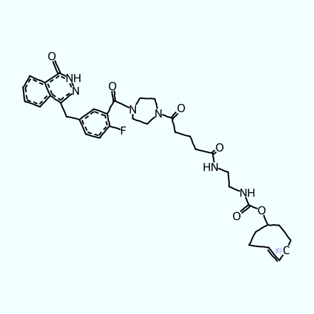 O=C(CCCC(=O)N1CCN(C(=O)c2cc(Cc3n[nH]c(=O)c4ccccc34)ccc2F)CC1)NCCNC(=O)OC1CC/C=C/CCC1